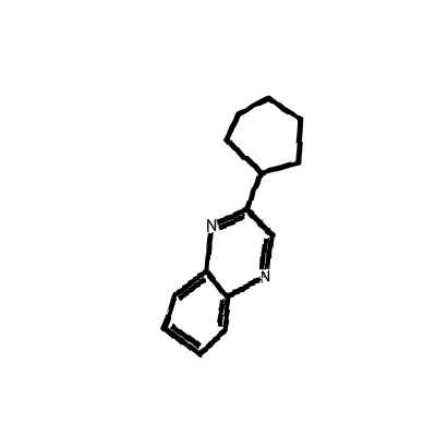 c1ccc2nc(C3CCCCC3)cnc2c1